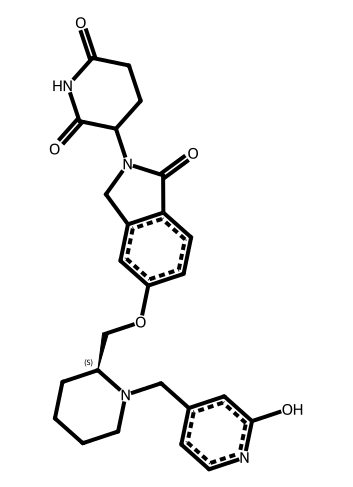 O=C1CCC(N2Cc3cc(OC[C@@H]4CCCCN4Cc4ccnc(O)c4)ccc3C2=O)C(=O)N1